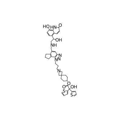 O=C(OC1CCC2(CC1)CN(CCCn1nnc3cc(CNC[C@H](O)c4ccc(O)c5[nH]c(=O)ccc45)c4c(c31)CCC4)C2)C(O)(c1cccs1)c1cccs1